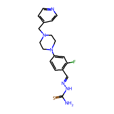 NC(=S)NN=Cc1ccc(N2CCN(Cc3ccncc3)CC2)cc1F